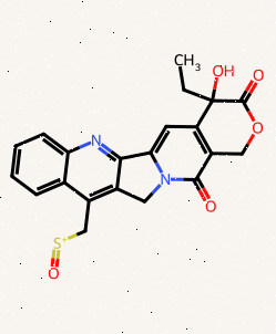 CCC1(O)C(=O)OCc2c1cc1n(c2=O)Cc2c-1nc1ccccc1c2C[S+]=O